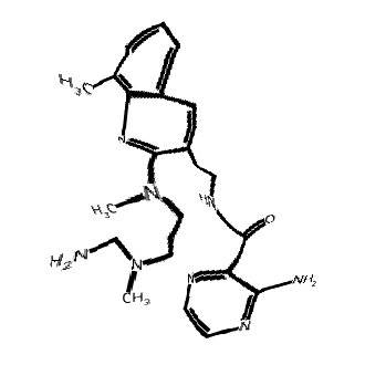 Cc1cccc2cc(CNC(=O)c3nccnc3N)c(N(C)CCN(C)CN)nc12